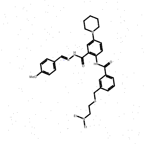 CCN(CC)CCSCc1cccc(C(=O)Nc2ccc(N3CCCCC3)cc2C(=O)N/N=C/c2ccc(OC)cc2)c1